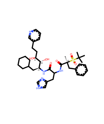 CC(C)(C)S(=O)(=O)[C@@](C)(Cc1ccccc1)C(=O)NC(Cc1c[nH]cn1)C(=O)N[C@@H](CC1CCCCC1)[C@@H](O)[C@@H](O)CCc1cccnc1